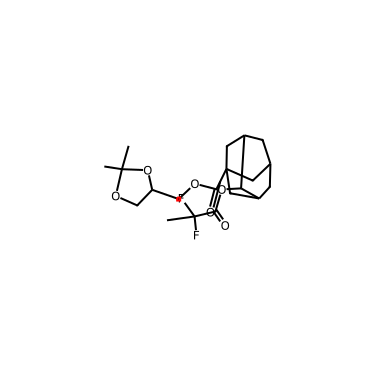 CC1(C)OCC(COC(=O)C23CC4CC(C2)C(OC(=O)C(C)(F)F)C(C4)C3)O1